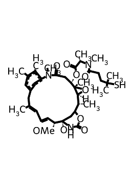 CO[C@@H]1/C=C/C=C(\C)Cc2cc(C)c(C)c(c2)N(C)C(=O)C[C@H](OC(=O)[C@H](C)N(C)C(=O)CCC(C)(C)S)[C@]2(C)O[C@H]2[C@H](C)C2C[C@@]1(O)NC(=O)O2